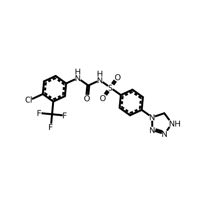 O=C(Nc1ccc(Cl)c(C(F)(F)F)c1)NS(=O)(=O)c1ccc(N2CNN=N2)cc1